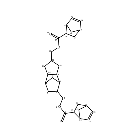 C=C(OCC1CC2CC1C1CC(COC(=O)C3CC4C=CC3C4)CC21)C1CC2C=CC1C2